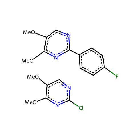 COc1cnc(-c2ccc(F)cc2)nc1OC.COc1cnc(Cl)nc1OC